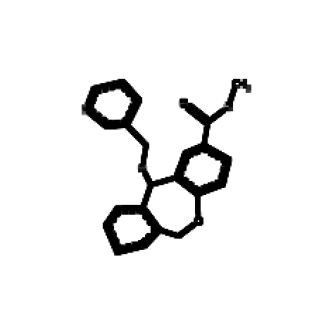 COC(=O)c1ccc2c(c1)C(OCc1cccnc1)c1ccccc1CO2